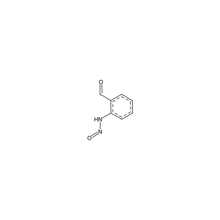 O=Cc1ccccc1NN=O